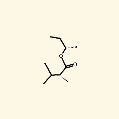 C[CH][C@H](C)OC(=O)[C@H](C)C(C)C